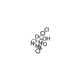 O=C(C1=C(O)C(=O)N(c2nc3ccccc3s2)C1C1=CCCN=C1)c1ccc(Cl)cc1